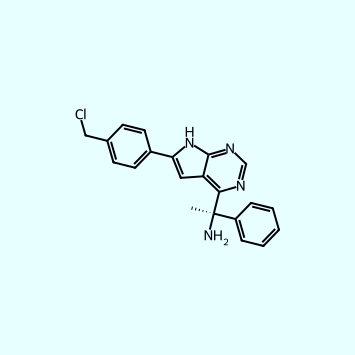 C[C@@](N)(c1ccccc1)c1ncnc2[nH]c(-c3ccc(CCl)cc3)cc12